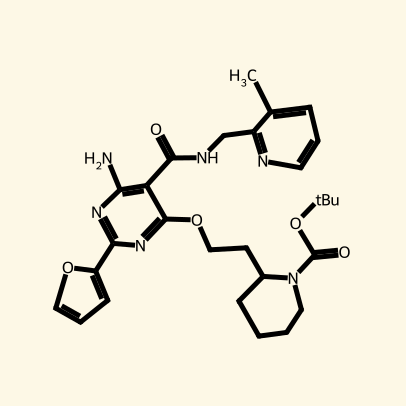 Cc1cccnc1CNC(=O)c1c(N)nc(-c2ccco2)nc1OCCC1CCCCN1C(=O)OC(C)(C)C